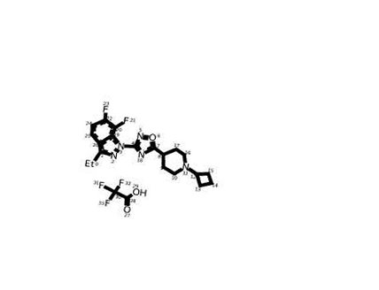 CCc1nn(-c2noc(C3CCN(C4CCC4)CC3)n2)c2c(F)c(F)ccc12.O=C(O)C(F)(F)F